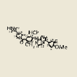 COc1ccc(-c2cnc3c(Nc4ccc(C(=O)N5CCN(C6CNC6)CC5)c(C)c4)nccn23)cc1F.Cl